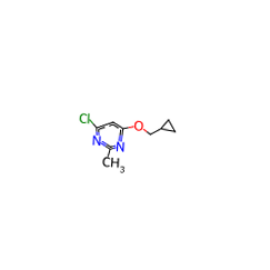 Cc1nc(Cl)cc(OCC2CC2)n1